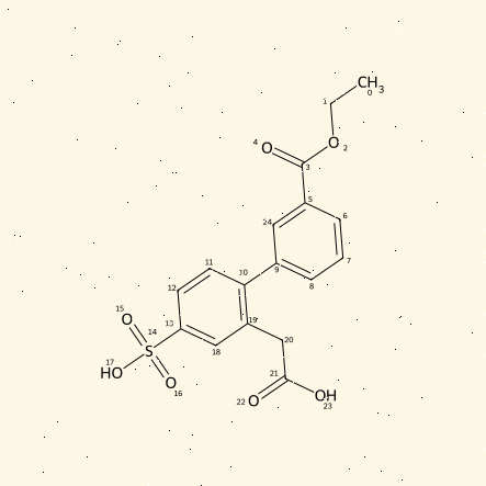 CCOC(=O)c1cccc(-c2ccc(S(=O)(=O)O)cc2CC(=O)O)c1